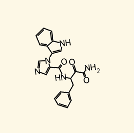 NC(=O)C(=O)C(Cc1ccccc1)NC(=O)c1cncn1-c1c[nH]c2ccccc12